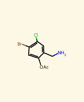 CC(=O)Oc1cc(Br)c(Cl)cc1CN